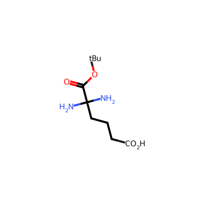 CC(C)(C)OC(=O)C(N)(N)CCCC(=O)O